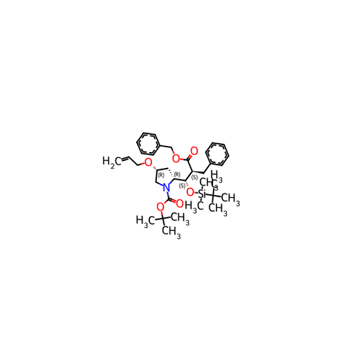 C=CCO[C@@H]1C[C@H]([C@@H](O[Si](C)(C)C(C)(C)C)[C@H](Cc2ccccc2)C(=O)OCc2ccccc2)N(C(=O)OC(C)(C)C)C1